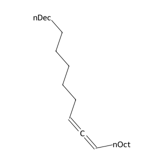 CCCCCCCCC=C=CCCCCCCCCCCCCCCC